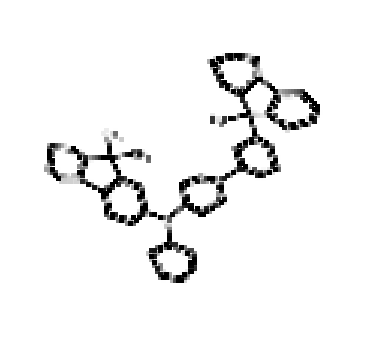 CC1(C)c2ccccc2-c2ccc(N(c3ccccc3)c3ccc(-c4cccc(C5(C)c6ccccc6-c6ccccc65)c4)cc3)cc21